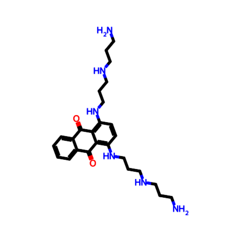 NCCCNCCCNc1ccc(NCCCNCCCN)c2c1C(=O)c1ccccc1C2=O